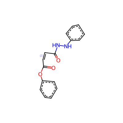 O=C(/C=C\C(=O)Oc1ccccc1)NNc1ccccc1